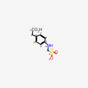 O=C(O)Cc1ccc(NC[SH](=O)=O)cc1